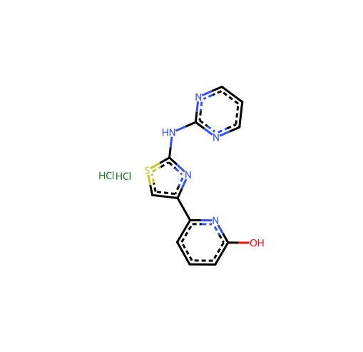 Cl.Cl.Oc1cccc(-c2csc(Nc3ncccn3)n2)n1